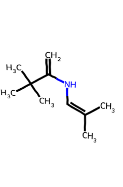 C=C(NC=C(C)C)C(C)(C)C